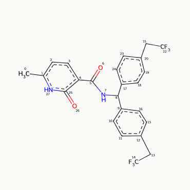 Cc1ccc(C(=O)NC(c2ccc(CC(F)(F)F)cc2)c2ccc(CC(F)(F)F)cc2)c(=O)[nH]1